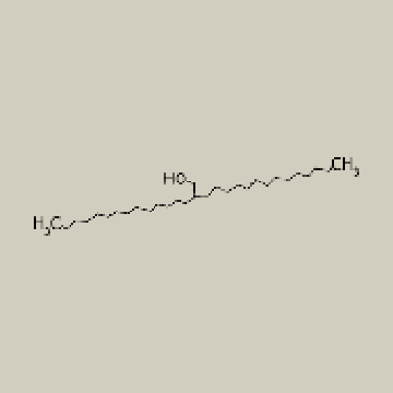 CCCCCCCCCCCCCCC(CO)CCCCCCCCCCCCCC